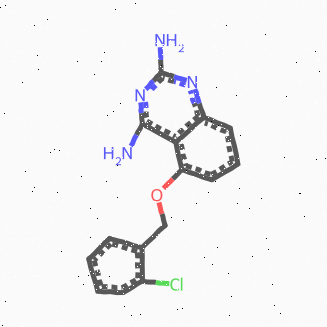 Nc1nc(N)c2c(OCc3ccccc3Cl)cccc2n1